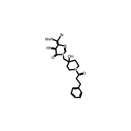 CN/C(Br)=C1/N=CN(CC2(O)CCN(C(=O)CCc3ccccc3)CC2)C(=O)C1=N